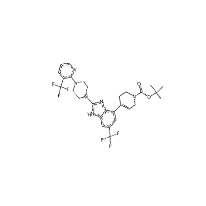 CC(C)(C)OC(=O)N1CC=C(c2cc(C(F)(F)F)cc3[nH]c(N4CCN(c5ncccc5C(F)(F)F)CC4)nc23)CC1